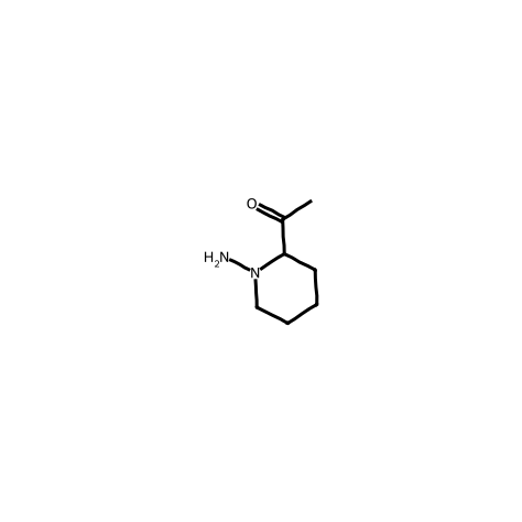 CC(=O)C1CCCCN1N